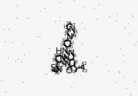 C=C(c1cc2cnc(Nc3ccc(N4CCN5CCCC5C4)cc3)nc2n(Cc2ncccc2-c2nccs2)c1=O)C1CC1